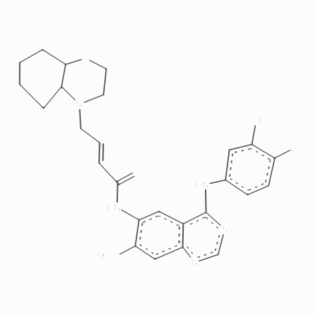 COc1cc2ncnc(Nc3ccc(F)c(Cl)c3)c2cc1NC(=O)C=CCN1CCSC2CCCCC21